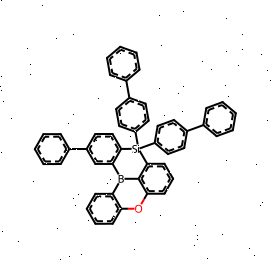 c1ccc(-c2ccc([Si]3(c4ccc(-c5ccccc5)cc4)c4ccc(-c5ccccc5)cc4B4c5ccccc5Oc5cccc3c54)cc2)cc1